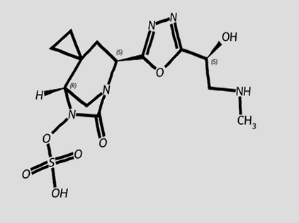 CNC[C@H](O)c1nnc([C@@H]2CC3(CC3)[C@@H]3CN2C(=O)N3OS(=O)(=O)O)o1